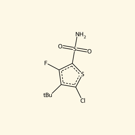 CC(C)(C)c1c(Cl)sc(S(N)(=O)=O)c1F